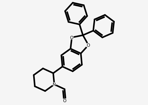 O=CN1CCCCC1c1ccc2c(c1)OC(c1ccccc1)(c1ccccc1)O2